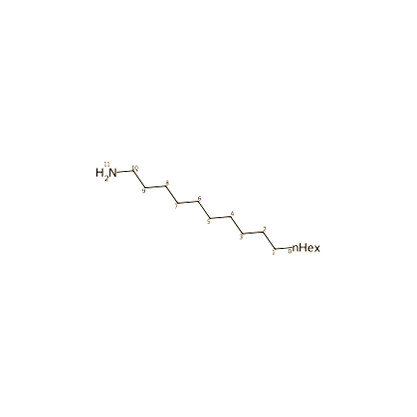 CCCCCCCCCCCCCCC[CH]N